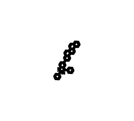 c1ccc(-c2nc(-c3ccccc3)c3cc(-c4ccc5c(ccc6c5ccc5c7ccccc7ccc56)c4)ccc3n2)cc1